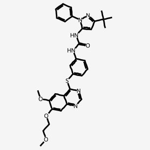 COCCOc1cc2ncnc(Sc3cccc(NC(=O)Nc4cc(C(C)(C)C)nn4-c4ccccc4)c3)c2cc1OC